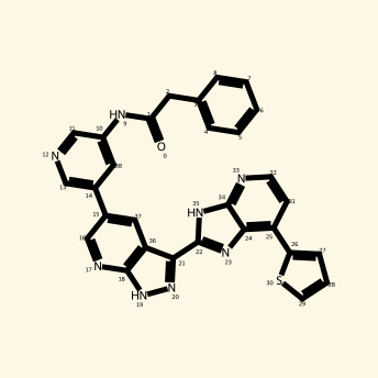 O=C(Cc1ccccc1)Nc1cncc(-c2cnc3[nH]nc(-c4nc5c(-c6cccs6)ccnc5[nH]4)c3c2)c1